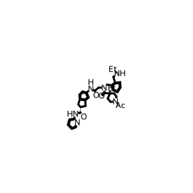 CCNCc1ccccc1CN(CC(=O)Nc1ccc2c(c1)C[C@H](C(=O)Nc1ccccn1)C2)C(=O)C1(CC)CCN(C(C)=O)CC1